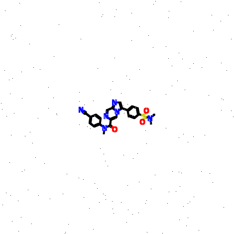 CN(C(=O)c1cn2c(-c3ccc(S(=O)(=O)N(C)C)cc3)cnc2cn1)c1ccc(C#N)cc1